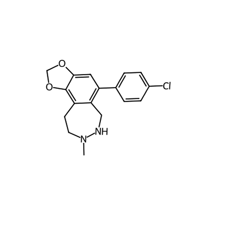 CN1CCc2c(c(-c3ccc(Cl)cc3)cc3c2OCO3)CN1